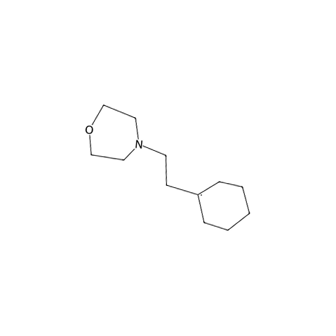 C1CC[C](CCN2CCOCC2)CC1